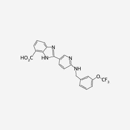 O=C(O)c1cccc2nc(-c3ccc(NCc4cccc(OC(F)(F)F)c4)nc3)[nH]c12